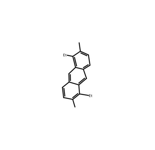 CCc1c(C)ccc2cc3c(CC)c(C)ccc3cc12